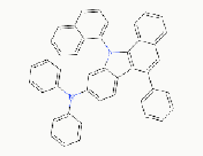 c1ccc(-c2cc3ccccc3c3c2c2ccc(N(c4ccccc4)c4ccccc4)cc2n3-c2cccc3ccccc23)cc1